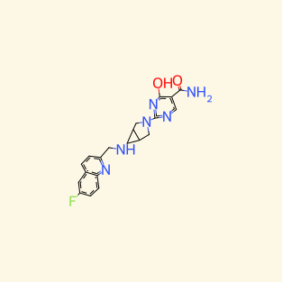 NC(=O)c1cnc(N2CC3C(C2)C3NCc2ccc3cc(F)ccc3n2)nc1O